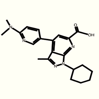 Cc1nn(C2CCCCC2)c2nc(C(=O)O)cc(-c3ccc(N(C)C)nc3)c12